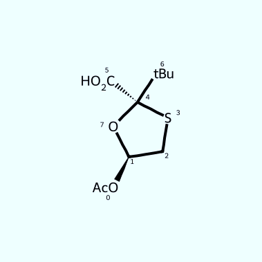 CC(=O)O[C@@H]1CS[C@](C(=O)O)(C(C)(C)C)O1